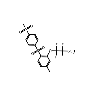 Cc1ccc(S(=O)(=O)c2ccc(S(C)(=O)=O)cc2)c(OC(F)(F)C(F)(F)S(=O)(=O)O)c1